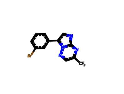 FC(F)(F)c1cnn2c(-c3cccc(Br)c3)cnc2n1